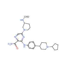 NC(=O)c1ncc(N2CCCC(NC=O)C2)nc1Nc1ccc(C2CCN(C3CCCC3)CC2)cc1